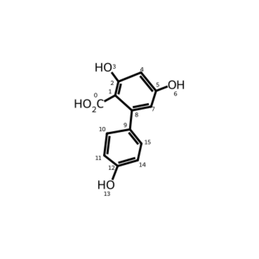 O=C(O)c1c(O)cc(O)cc1-c1ccc(O)cc1